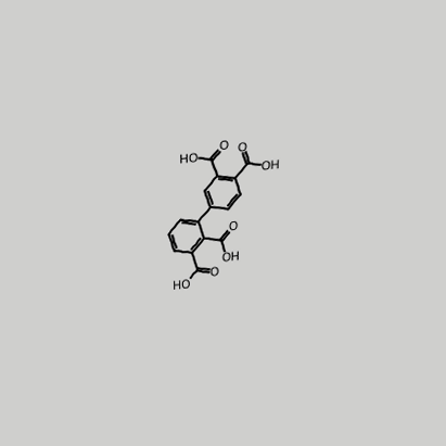 O=C(O)c1ccc(-c2cccc(C(=O)O)c2C(=O)O)cc1C(=O)O